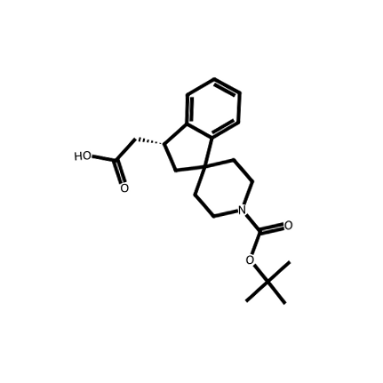 CC(C)(C)OC(=O)N1CCC2(CC1)C[C@H](CC(=O)O)c1ccccc12